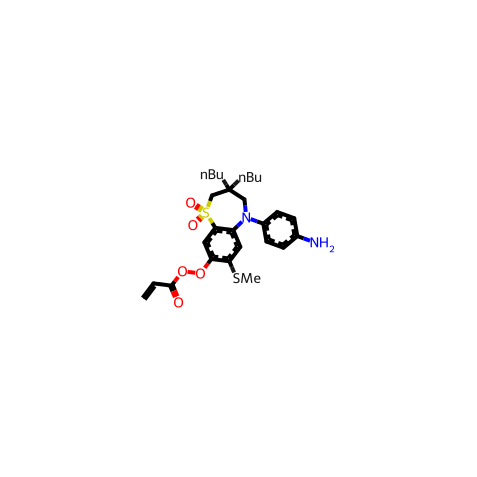 C=CC(=O)OOc1cc2c(cc1SC)N(c1ccc(N)cc1)CC(CCCC)(CCCC)CS2(=O)=O